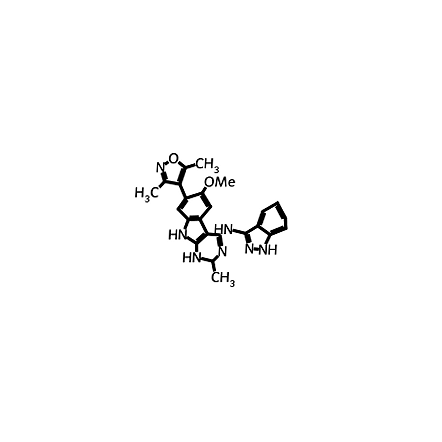 COc1cc2c3c([nH]c2cc1-c1c(C)noc1C)NC(C)N=C3Nc1n[nH]c2ccccc12